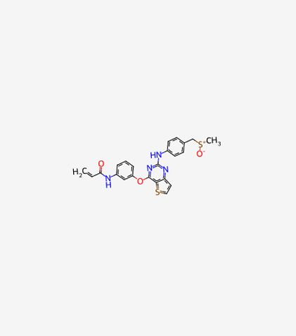 C=CC(=O)Nc1cccc(Oc2nc(Nc3ccc(C[S+](C)[O-])cc3)nc3ccsc23)c1